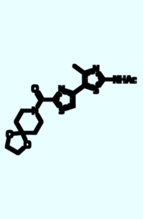 CC(=O)Nc1nc(C)c(-c2csc(C(=O)N3CCC4(CC3)OCCO4)n2)s1